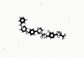 O=C(NCc1ccc(-c2nnc(C(F)F)o2)cc1F)N1CCSC(c2ccc(OC3CCN(Cc4ccccc4)CC3)cc2)C1